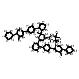 Cc1cc(-c2ccc(-c3ccccc3C3=CC(B4OC(C)(C)C(C)(C)O4)=CC(C)(c4ccccc4-c4ccc(-c5cc(C)c(-c6ccccc6)cn5)cc4)C3)cc2)ncc1-c1ccccc1